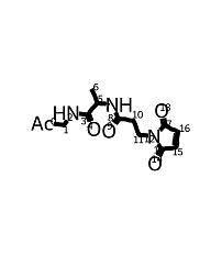 CC(=O)CNC(=O)C(C)NC(=O)CCN1C(=O)C=CC1=O